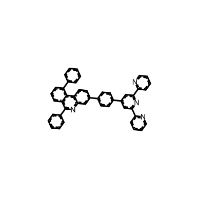 c1ccc(-c2nc3cc(-c4ccc(-c5cc(-c6ccccn6)nc(-c6ccccn6)c5)cc4)ccc3c3c(-c4ccccc4)cccc23)cc1